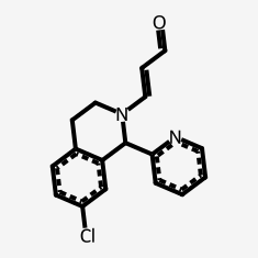 O=CC=CN1CCc2ccc(Cl)cc2C1c1ccccn1